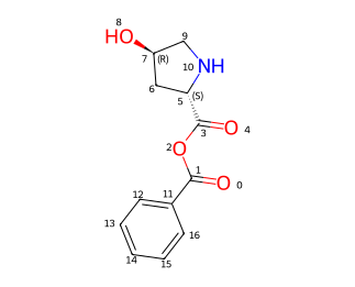 O=C(OC(=O)[C@@H]1C[C@@H](O)CN1)c1ccccc1